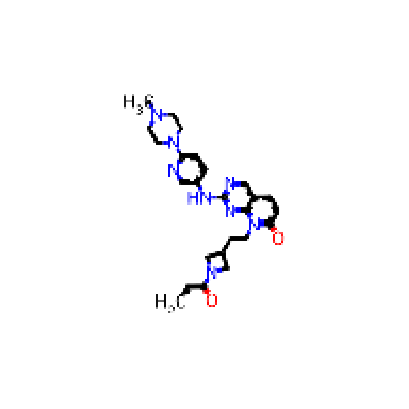 C=CC(=O)N1CC(CCn2c(=O)ccc3cnc(Nc4ccc(N5CCN(C)CC5)nc4)nc32)C1